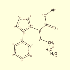 CCC(C(=O)[O][Al])c1sccc1-c1ccccc1.O.O